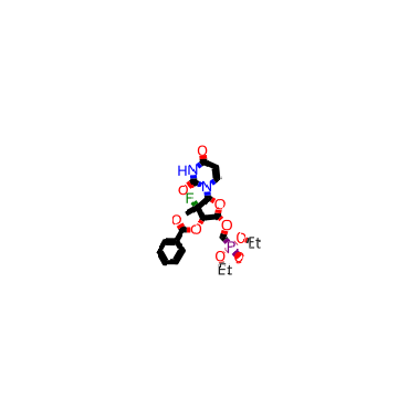 CCOP(=O)(COC1OC(n2ccc(=O)[nH]c2=O)C(C)(F)C1OC(=O)c1ccccc1)OCC